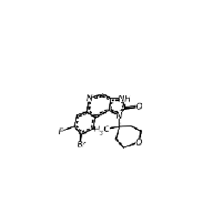 CC1(n2c(=O)[nH]c3cnc4cc(F)c(Br)cc4c32)CCOCC1